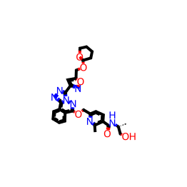 Cc1nc(COc2nn3c(-c4cc(COC5CCCCO5)on4)nnc3c3ccccc23)ccc1C(=O)N[C@H](C)CO